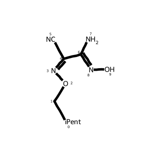 CCCC(C)CON=C(C#N)C(N)=NO